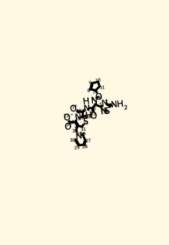 Nc1nc(C(=NOC2C=CCC2)C(=O)NC2C(=O)N3C(C(=O)[O-])=C(C[n+]4ccccc4)CS[C@@H]23)ns1